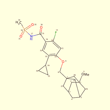 COC12CC3CC(CC(COc4cc(F)c(C(=O)NS(C)(=O)=O)cc4C4CC4)(C3)C1)C2